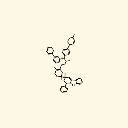 CC1=C(CCC(C)N(c2ccc(C3C=CC(C)CC3)cc2)c2cccc(C3=CC=CCC3)c2)CC(C)(C2(C)C=C3c4ccccc4OC3C(c3ccccc3)C2)CC1